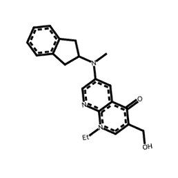 CCn1cc(CO)c(=O)c2cc(N(C)C3Cc4ccccc4C3)cnc21